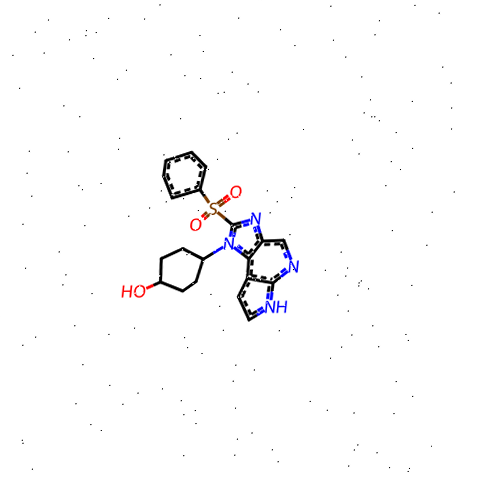 O=S(=O)(c1ccccc1)c1nc2cnc3[nH]ccc3c2n1C1CCC(O)CC1